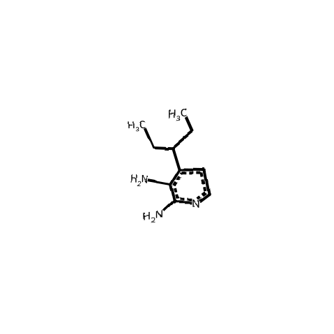 CCC(CC)c1ccnc(N)c1N